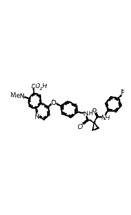 CNc1cc2nccc(Oc3ccc(NC(=O)C4(C(=O)Nc5ccc(F)cc5)CC4)cc3)c2cc1C(=O)O